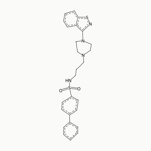 O=S(=O)(NCCCN1CCN(c2nsc3ccccc23)CC1)c1ccc(-c2ccccc2)cc1